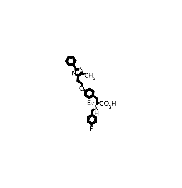 CC[C@@](Cc1ccc(OCCc2nc(-c3ccccc3)sc2C)cc1)(NCc1ccc(F)cc1)C(=O)O